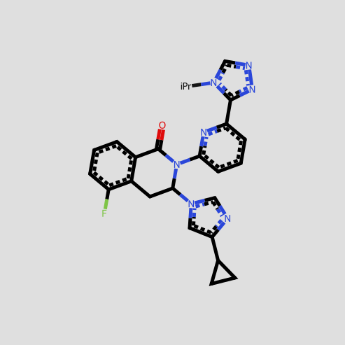 CC(C)n1cnnc1-c1cccc(N2C(=O)c3cccc(F)c3CC2n2cnc(C3CC3)c2)n1